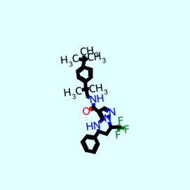 CC(C)(C)c1ccc(C(C)(C)CNC(=O)c2cnn3c2NC(c2ccccc2)CC3C(F)(F)F)cc1